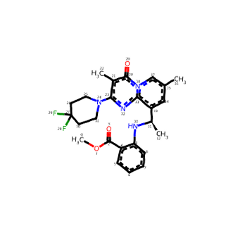 COC(=O)c1ccccc1N[C@H](C)c1cc(C)cn2c(=O)c(C)c(N3CCC(F)(F)CC3)nc12